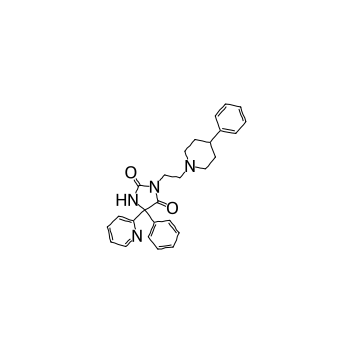 O=C1NC(c2ccccc2)(c2ccccn2)C(=O)N1CCN1CCC(c2ccccc2)CC1